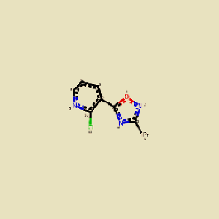 CC(C)c1noc(-c2cccnc2Cl)n1